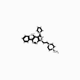 CN1CCN(CCn2nc(N3CCCC3)c3c(Cl)c(-c4ccccc4)nnc32)CC1